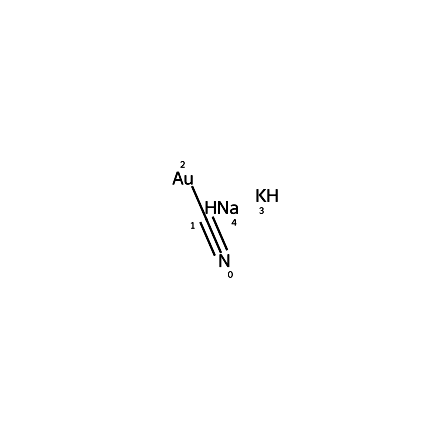 N#[C][Au].[KH].[NaH]